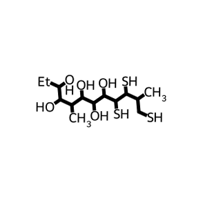 CCC(O)C(O)C(C)C(O)C(O)C(O)C(S)C(S)C(C)CS